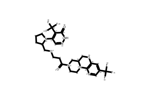 O=C(CCOCC1CCCN1c1cn[nH]c(=O)c1C(F)(F)F)N1CCN2c3ncc(C(F)(F)F)cc3OCC2C1